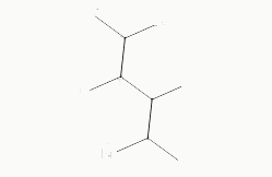 CC(Br)C(Br)C(Br)C(C)Br